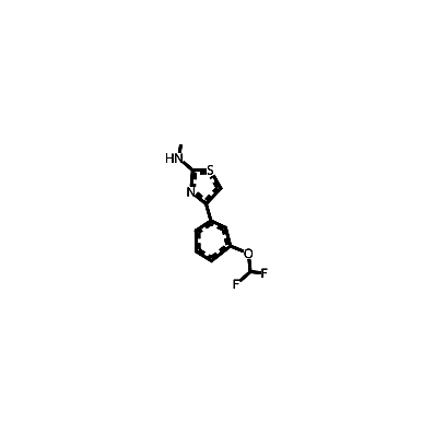 CNc1nc(-c2cccc(OC(F)F)c2)cs1